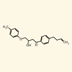 C=CCCc1ccc(NCC(O)COc2ccc(C)cc2)cc1